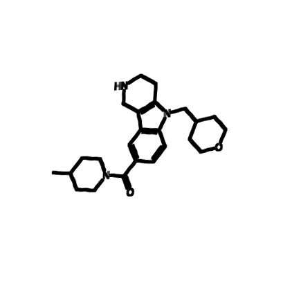 CC1CCN(C(=O)c2ccc3c(c2)c2c(n3CC3CCOCC3)CCNC2)CC1